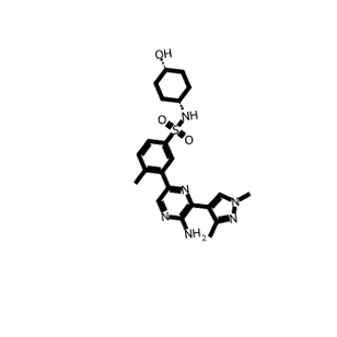 Cc1ccc(S(=O)(=O)N[C@H]2CC[C@@H](O)CC2)cc1-c1cnc(N)c(-c2cn(C)nc2C)n1